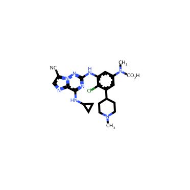 CN1CCC(c2cc(N(C)C(=O)O)cc(Nc3nc(NC4CC4)c4ncc(C#N)n4n3)c2Cl)CC1